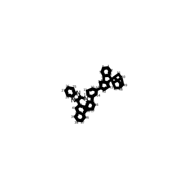 c1ccc2c(c1)-c1cc(-c3ccc4c(c3)c3ccccc3n4-c3nc4ccccc4nc3-c3ccc4ccccc4c3)ccc1C21C2CC3CC4CC1C42C3